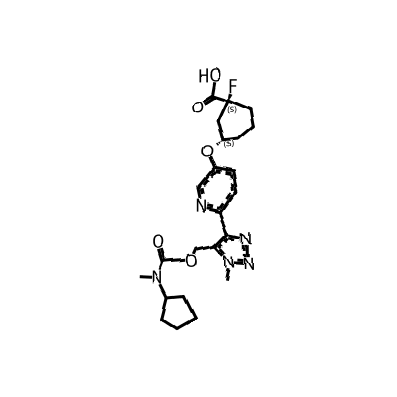 CN(C(=O)OCc1c(-c2ccc(O[C@H]3CCC[C@@](F)(C(=O)O)C3)cn2)nnn1C)C1CCCC1